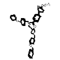 COc1ccc(-c2ccc(C(=O)N(Cc3ccc(Oc4ccccc4)cc3)CC3CCN(Cc4ccc(OCc5ccccc5)cc4)CC3)cc2)cn1